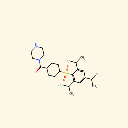 CC(C)c1cc(C(C)C)c(S(=O)(=O)C2CCC(C(=O)N3CCNCC3)CC2)c(C(C)C)c1